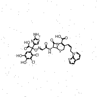 Nc1nc(C(ON=CC(=O)N[C@H]2C(=O)N3C(C(=O)O)=C(/C=C\C[n+]4cccc5ccsc54)CSC23)(C(=O)O)c2cc(O)c(O)c(Cl)c2Cl)cs1